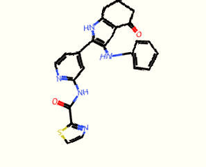 O=C(Nc1cc(-c2[nH]c3c(c2Nc2ccccc2)C(=O)CCC3)ccn1)c1nccs1